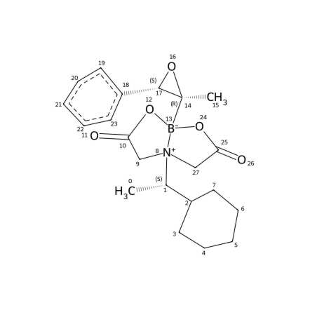 C[C@@H](C1CCCCC1)[N+]12CC(=O)O[B-]1([C@]1(C)O[C@H]1c1ccccc1)OC(=O)C2